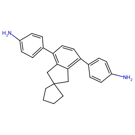 Nc1ccc(-c2ccc(-c3ccc(N)cc3)c3c2CC2(CCCC2)C3)cc1